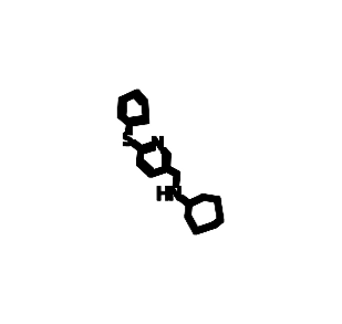 c1ccc(Sc2ccc(CNC3CCCCCC3)cn2)cc1